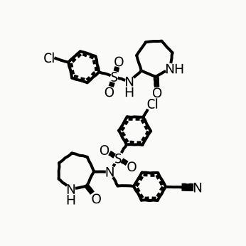 N#Cc1ccc(CN(C2CCCCNC2=O)S(=O)(=O)c2ccc(Cl)cc2)cc1.O=C1NCCCCC1NS(=O)(=O)c1ccc(Cl)cc1